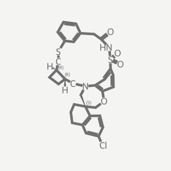 O=C1Cc2cccc(c2)SC[C@@H]2CC[C@H]2CN2C[C@@]3(CCCc4cc(Cl)ccc43)COc3ccc(cc32)S(=O)(=O)N1